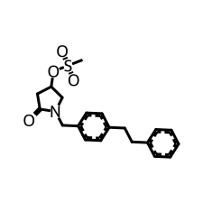 CS(=O)(=O)OC1CC(=O)N(Cc2ccc(CCc3ccccc3)cc2)C1